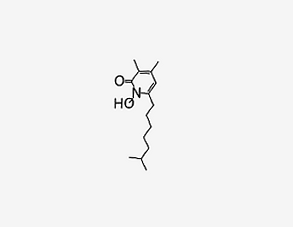 Cc1cc(CCCCCC(C)C)n(O)c(=O)c1C